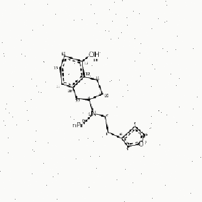 CCCN(CCc1ccoc1)C1CCc2c(O)cccc2C1